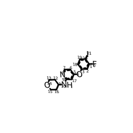 Fc1cc(Oc2ccnc(NC3CCOCC3)c2)ccc1I